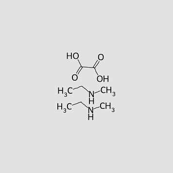 CCNC.CCNC.O=C(O)C(=O)O